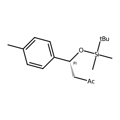 CC(=O)C[C@@H](O[Si](C)(C)C(C)(C)C)c1ccc(C)cc1